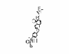 COc1c(OCC2CC2(F)F)ccc2c1CCN(Cc1ccc([C@H](C)NC(=O)C3CC3)cc1)C2